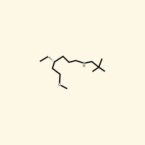 CC[C@H](CCCNCC(C)(C)C)CCOC